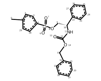 Cc1ccc(S(=O)(=O)OC[C@@H](NC(=O)OCc2ccccc2)c2ccccc2)cc1